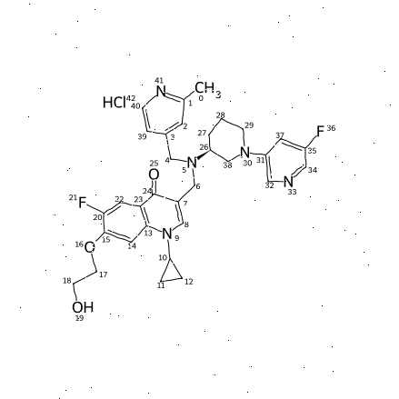 Cc1cc(CN(Cc2cn(C3CC3)c3cc(OCCO)c(F)cc3c2=O)[C@H]2CCCN(c3cncc(F)c3)C2)ccn1.Cl